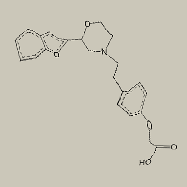 O=C(O)COc1ccc(CCN2CCOC(c3cc4ccccc4o3)C2)cc1